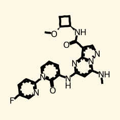 CNc1cc(Nc2cccn(-c3ccc(F)cn3)c2=O)nc2c(C(=O)N[C@@H]3CC[C@H]3OC)cnn12